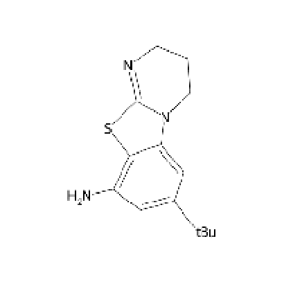 CC(C)(C)c1cc(N)c2c(c1)N1CCCN=C1S2